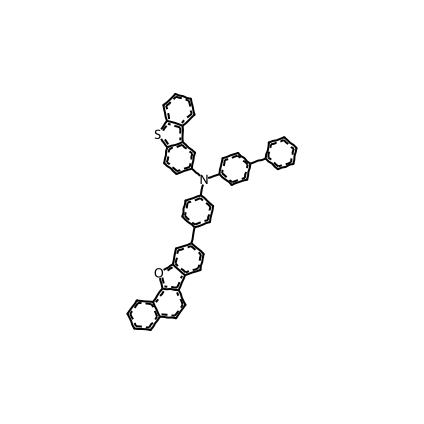 c1ccc(-c2ccc(N(c3ccc(-c4ccc5c(c4)oc4c6ccccc6ccc54)cc3)c3ccc4sc5ccccc5c4c3)cc2)cc1